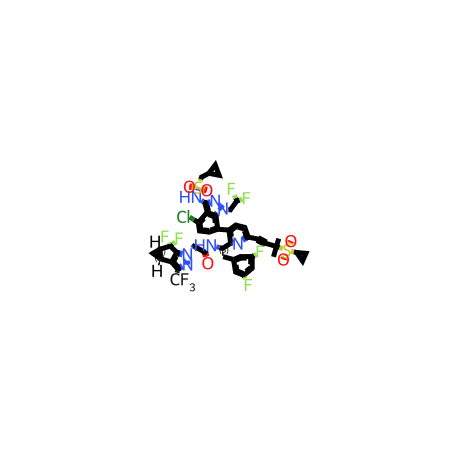 CC(C)(C#Cc1ccc(-c2ccc(Cl)c3c(NS(=O)(=O)CC4CC4)nn(CC(F)F)c23)c([C@H](Cc2cc(F)cc(F)c2)NC(=O)Cn2nc(C(F)(F)F)c3c2C(F)(F)[C@@H]2C[C@H]32)n1)S(=O)(=O)C1CC1